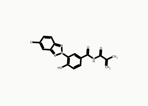 C=C(C)C(=O)NC(=O)c1ccc(O)c(-n2nc3ccc(Cl)cc3n2)c1